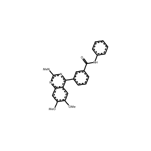 CNc1nc(-c2cccc(C(=O)Nc3ccccc3)c2)c2cc(OC)c(OC)cc2n1